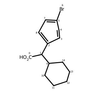 O=C(O)C(c1ccc(Br)cc1)C1CCCCC1